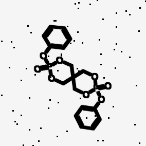 O=P1(Oc2ccccc2)OCC2(CO1)COP(=O)(Oc1ccccc1)OC2